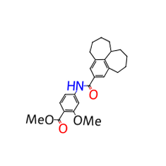 COC(=O)c1ccc(NC(=O)c2cc3c4c(c2)CCCCC4CCCC3)cc1OC